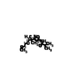 COCCOCC(C)(C)c1cc(NC(=O)C(C)C)on1